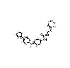 O=C(NCCN1CCOCC1)Nc1ccc(Nc2ncc(-c3ccsc3)cn2)cc1